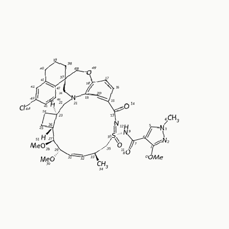 COc1nn(C)cc1C(=O)N[S@@]1(=O)=NC(=O)c2ccc3c(c2)N(C[C@@H]2CC[C@H]2[C@H](OC)[C@@H](OC)/C=C\[C@H](C)C1)C[C@@]1(CCCc2cc(Cl)ccc21)CO3